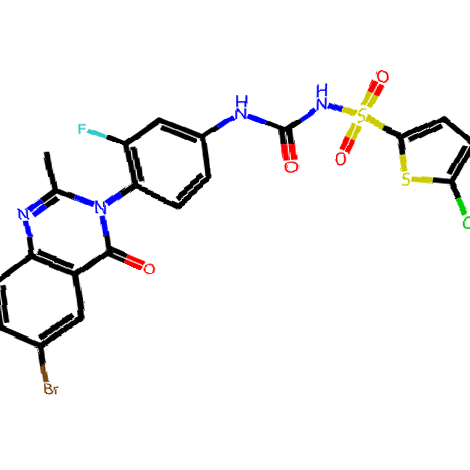 Cc1nc2ccc(Br)cc2c(=O)n1-c1ccc(NC(=O)NS(=O)(=O)c2ccc(Cl)s2)cc1F